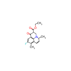 CCOC(=O)C1CN2c3c(cc(F)c(C)c3C=CC2C)C1=O